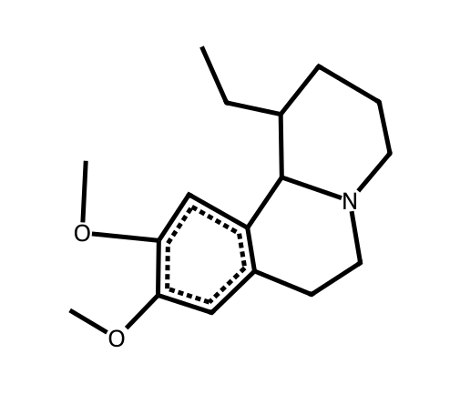 CCC1CCCN2CCc3cc(OC)c(OC)cc3C12